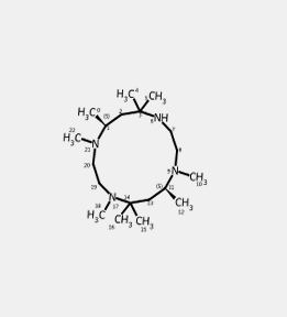 C[C@H]1CC(C)(C)NCCN(C)[C@@H](C)CC(C)(C)N(C)CCN1C